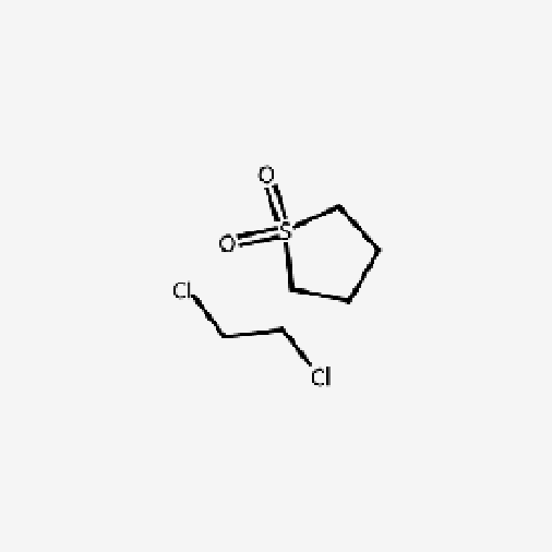 ClCCCl.O=S1(=O)CCCC1